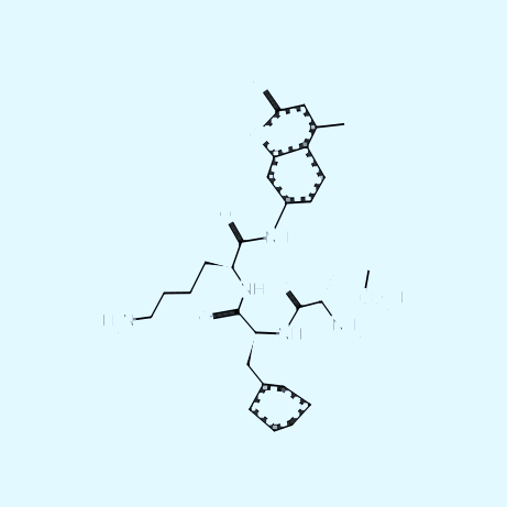 CC(=O)O.Cc1cc(=O)oc2cc(NC(=O)[C@H](CCCCN)NC(=O)[C@H](Cc3ccccc3)NC(=O)[C@H](C)N)ccc12